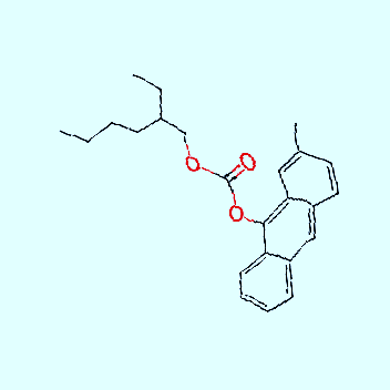 CCCCC(CC)COC(=O)Oc1c2ccccc2cc2ccc(C)cc12